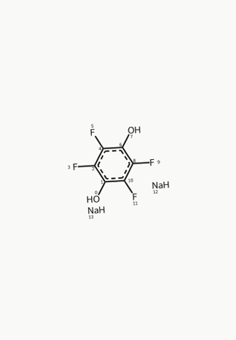 Oc1c(F)c(F)c(O)c(F)c1F.[NaH].[NaH]